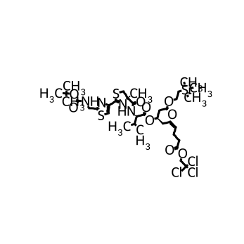 CC(C)[C@H](NC(=O)[C@]1(C)CSC(c2csc(CNC(=O)OC(C)(C)C)n2)=N1)C(=O)O[C@H](C/C=C\CCC(=O)OCC(Cl)(Cl)Cl)CC(=O)OCC[Si](C)(C)C